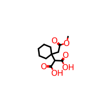 COC(=O)CC1(C(C(=O)O)C(=O)O)CCCCC1